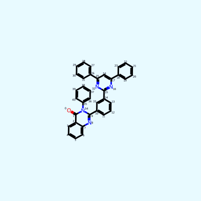 O=c1c2ccccc2nc(-c2cccc(-c3nc(-c4ccccc4)cc(-c4ccccc4)n3)c2)n1-c1ccccc1